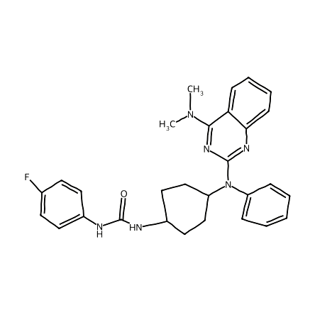 CN(C)c1nc(N(c2ccccc2)C2CCC(NC(=O)Nc3ccc(F)cc3)CC2)nc2ccccc12